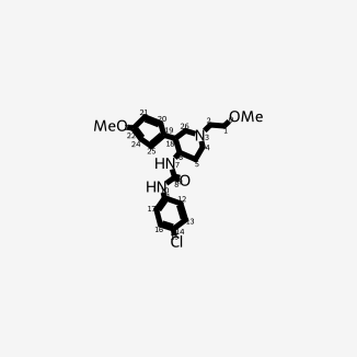 COCCN1CCC(NC(=O)Nc2ccc(Cl)cc2)C(c2ccc(OC)cc2)C1